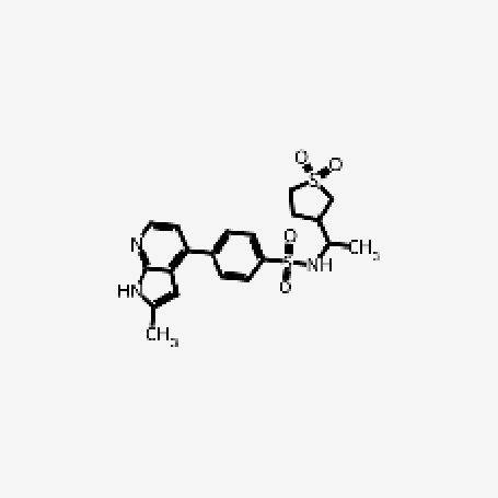 Cc1cc2c(-c3ccc(S(=O)(=O)NC(C)C4CCS(=O)(=O)C4)cc3)ccnc2[nH]1